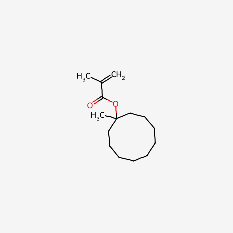 C=C(C)C(=O)OC1(C)CCCCCCCCC1